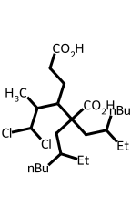 CCCCC(CC)CC(CC(CC)CCCC)(C(=O)O)C(CCC(=O)O)C(C)C(Cl)Cl